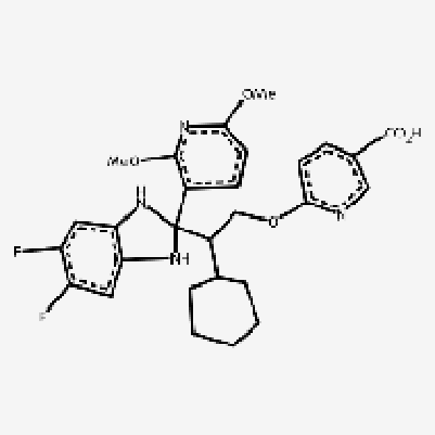 COc1ccc(C2(C(COc3ccc(C(=O)O)cn3)C3CCCCC3)Nc3cc(F)c(F)cc3N2)c(OC)n1